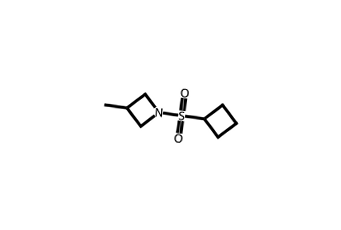 CC1CN(S(=O)(=O)C2CCC2)C1